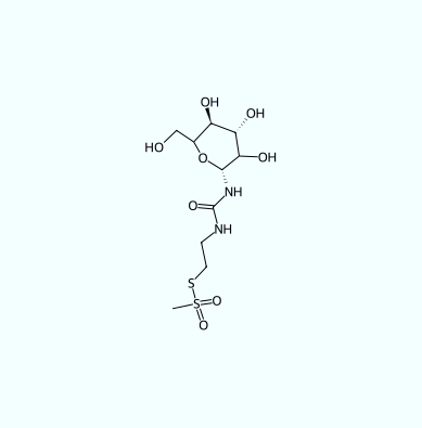 CS(=O)(=O)SCCNC(=O)N[C@@H]1OC(CO)[C@@H](O)[C@H](O)C1O